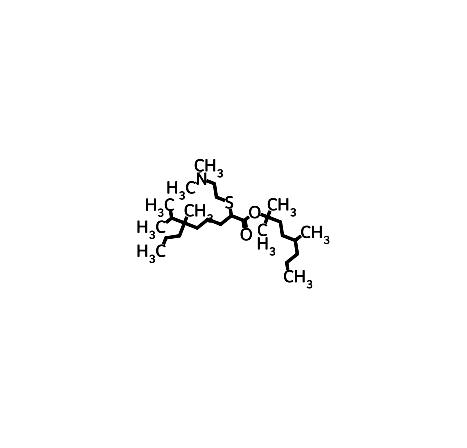 CCCC(C)CCC(C)(C)OC(=O)C(CCCC(C)(CCC)C(C)C)SCCN(C)C